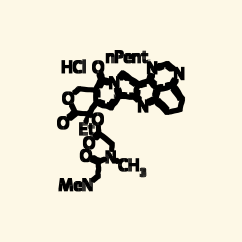 CCCCCn1cnc2c3c(nc4c(cn5c(=O)c6c(cc45)[C@](CC)(OC(=O)CN(C)C(=O)CNC)C(=O)OC6)c31)=CCC=2.Cl